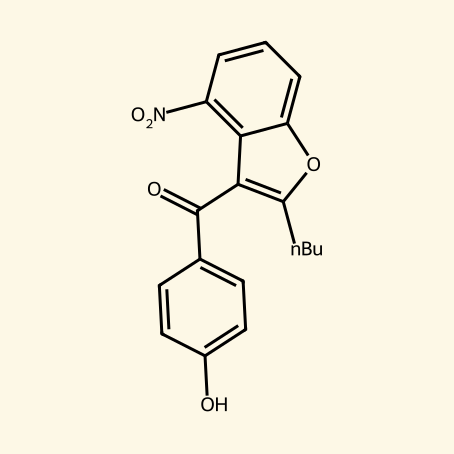 CCCCc1oc2cccc([N+](=O)[O-])c2c1C(=O)c1ccc(O)cc1